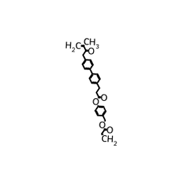 C=CC(=O)OCc1ccc(OC(=O)CCc2ccc(-c3ccc(CC(=O)C(=C)C)cc3)cc2)cc1